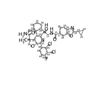 C[C@]1(C(N)=O)COc2c1cc([C@@](O)(CNC(=O)c1ccc3nc(C4CC4)oc3c1)c1cccc(F)c1)nc2-c1ccc(F)c(Cl)c1Cl